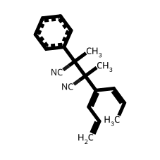 C=C/C=C(\C=C/C)C(C)(C#N)C(C)(C#N)c1ccccc1